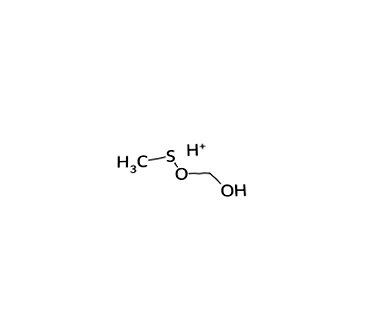 CSOCO.[H+]